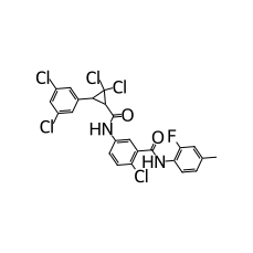 Cc1ccc(NC(=O)c2cc(NC(=O)C3C(c4cc(Cl)cc(Cl)c4)C3(Cl)Cl)ccc2Cl)c(F)c1